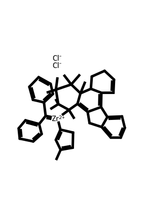 CC1=CC[C]([Zr+2](=[C](c2ccccc2)c2ccccc2)[C]2(C)C3=C4Cc5ccccc5C4=C4C=CCCC4C3(C)C(C)(C)C(C)(C)C2(C)C)=C1.[Cl-].[Cl-]